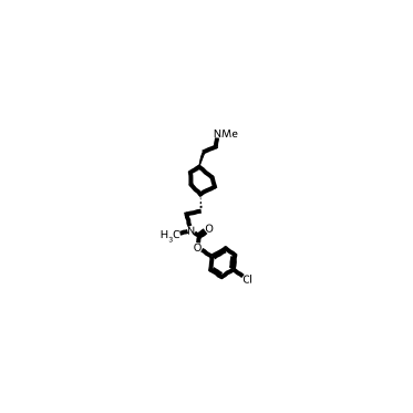 CNCC[C@H]1CC[C@H](CCN(C)C(=O)Oc2ccc(Cl)cc2)CC1